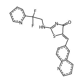 O=C1N=C(NCC(F)(F)c2ccccn2)S/C1=C\c1ccc2ncccc2c1